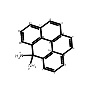 NC1(N)c2cccc3ccc4ccc5cccc1c5c4c23